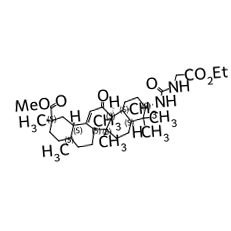 CCOC(=O)CNC(=O)N[C@H]1CC[C@@]2(C)[C@H](CC[C@@]3(C)[C@H]2C(=O)C=C2[C@H]4C[C@@](C)(C(=O)OC)CC[C@]4(C)CC[C@]23C)C1(C)C